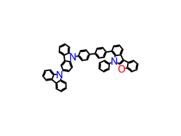 c1ccc(-n2c3oc4ccccc4c3c3cccc(-c4ccc(-c5ccc(-n6c7ccccc7c7cc(-n8c9ccccc9c9ccccc98)ccc76)cc5)cc4)c32)cc1